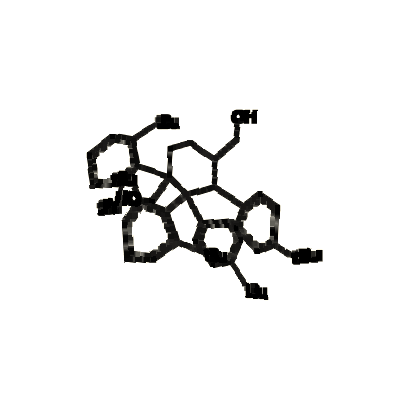 CC(C)(C)c1ccc(C2C(CO)CCC(CO)(c3c(C(C)(C)C)cccc3C(C)(C)C)C2(c2ccc(C(C)(C)C)cc2)c2c(C(C)(C)C)cccc2C(C)(C)C)cc1